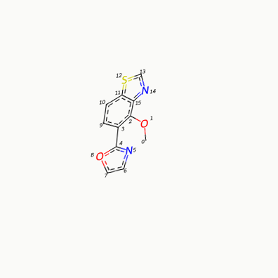 COc1c(-c2ncco2)ccc2s[c]nc12